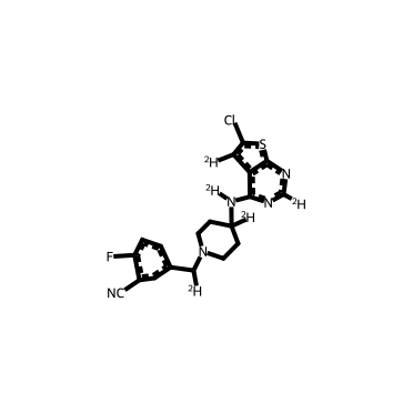 [2H]c1nc(N([2H])C2([2H])CCN(C([2H])c3ccc(F)c(C#N)c3)CC2)c2c([2H])c(Cl)sc2n1